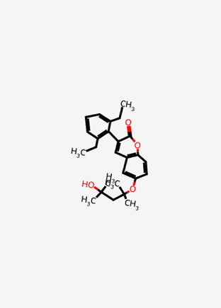 CCc1cccc(CC)c1-c1cc2cc(OC(C)(C)CC(C)(C)O)ccc2oc1=O